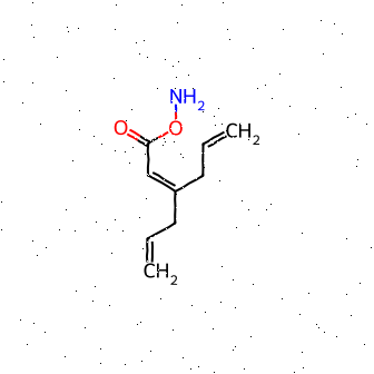 C=CCC(=CC(=O)ON)CC=C